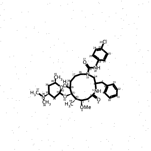 CO[C@@H]1CC(=O)NC(Cc2ccccc2)CN(C(=O)Nc2ccc(Cl)cc2)CCCC(C)[C@H](OC2C[C@@H](N(C)C)C[C@@H](C)O2)[C@H]1C